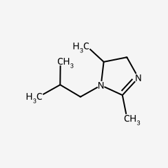 CC1=NCC(C)N1CC(C)C